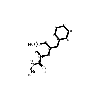 CN(CC(CC(=O)O)CC1CCCCC1)C(=O)OC(C)(C)C